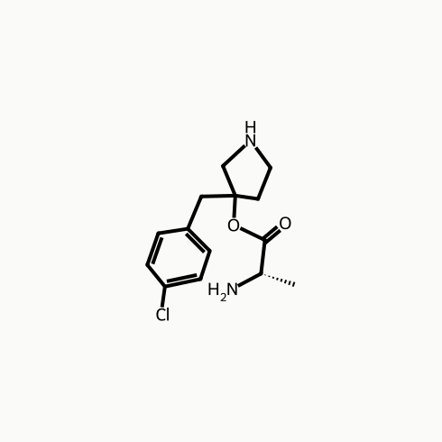 C[C@H](N)C(=O)OC1(Cc2ccc(Cl)cc2)CCNC1